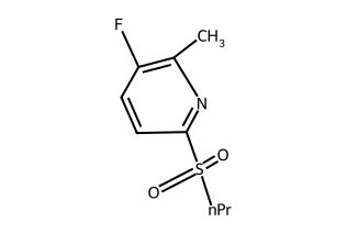 CCCS(=O)(=O)c1ccc(F)c(C)n1